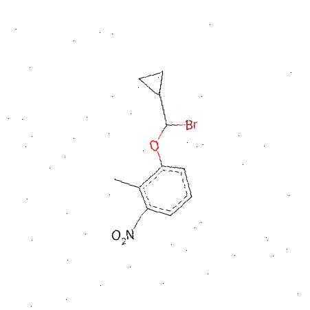 Cc1c(OC(Br)C2CC2)cccc1[N+](=O)[O-]